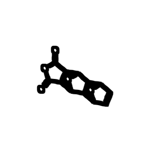 O=C1OC(=O)c2c1c1oc2c2c3ccc(o3)c12